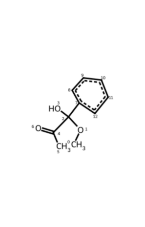 COC(O)(C(C)=O)c1ccccc1